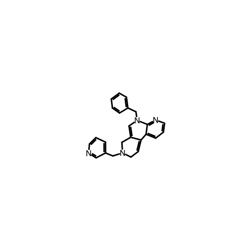 C1=C2CN(Cc3cccnc3)CC=C2c2cccnc2N1Cc1ccccc1